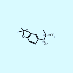 CC(=O)[C@H](c1ccc2c(c1)OC(C)(C)O2)[C@@H](C)C(F)(F)F